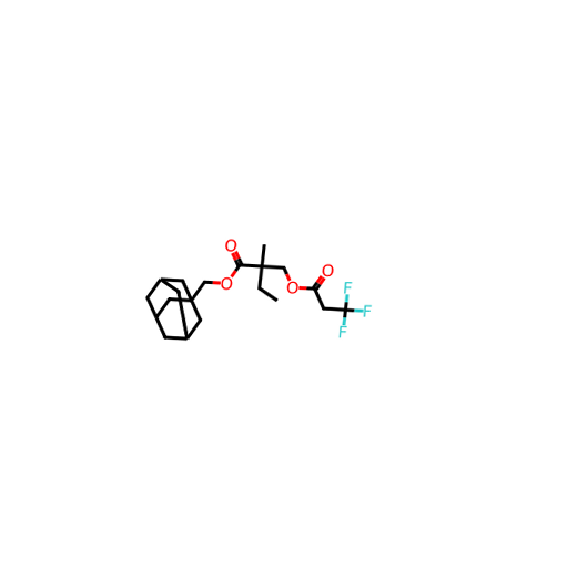 CCC(C)(COC(=O)CC(F)(F)F)C(=O)OCC12CC3CC(CC(C3)C1)C2